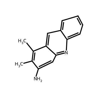 Cc1c(N)cc2nc3ccccc3cc2c1C